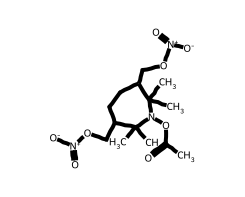 CC(=O)ON1C(C)(C)C(CO[N+](=O)[O-])CCC(CO[N+](=O)[O-])C1(C)C